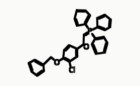 O=C(C=P(c1ccccc1)(c1ccccc1)c1ccccc1)c1ccc(OCc2ccccc2)c(Cl)c1